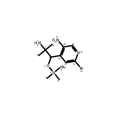 CC(C)(N)C(O[Si](C)(C)C(C)(C)C)c1cc(Br)ncc1[N+](=O)[O-]